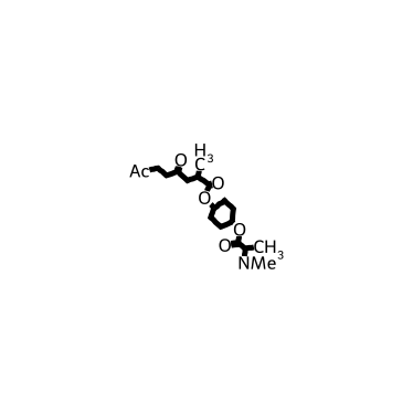 CNC(C)C(=O)OC1CCC(OC(=O)C(C)CC(=O)CCC(C)=O)CC1